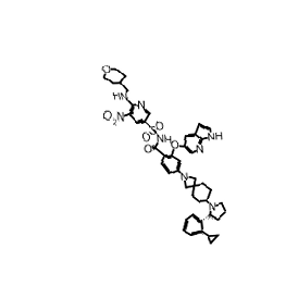 O=C(NS(=O)(=O)c1cnc(NCC2CCOCC2)c([N+](=O)[O-])c1)c1ccc(N2CC3(CCC(N4CCC[C@@H]4c4ccccc4C4CC4)CC3)C2)cc1Oc1cnc2[nH]ccc2c1